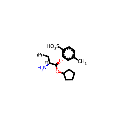 CC(C)C[C@H](N)C(=O)OC1CCCC1.Cc1ccc(S(=O)(=O)O)cc1